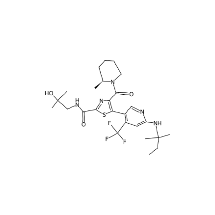 CCC(C)(C)Nc1cc(C(F)(F)F)c(-c2sc(C(=O)NCC(C)(C)O)nc2C(=O)N2CCCC[C@@H]2C)cn1